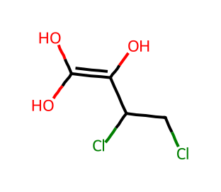 OC(O)=C(O)C(Cl)CCl